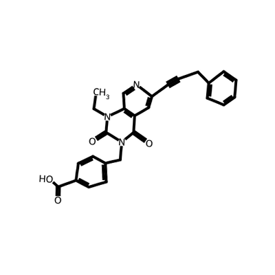 CCn1c(=O)n(Cc2ccc(C(=O)O)cc2)c(=O)c2cc(C#CCc3ccccc3)ncc21